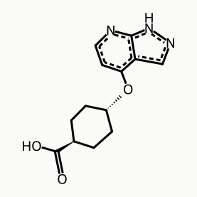 O=C(O)[C@H]1CC[C@H](Oc2ccnc3[nH]ncc23)CC1